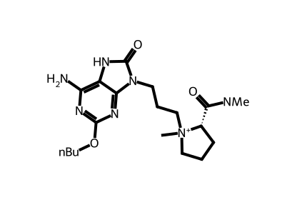 CCCCOc1nc(N)c2[nH]c(=O)n(CCC[N+]3(C)CCC[C@H]3C(=O)NC)c2n1